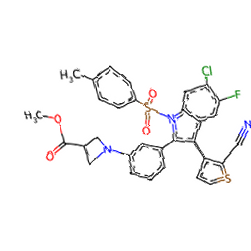 COC(=O)C1CN(c2cccc(-c3c(-c4ccsc4C#N)c4cc(F)c(Cl)cc4n3S(=O)(=O)c3ccc(C)cc3)c2)C1